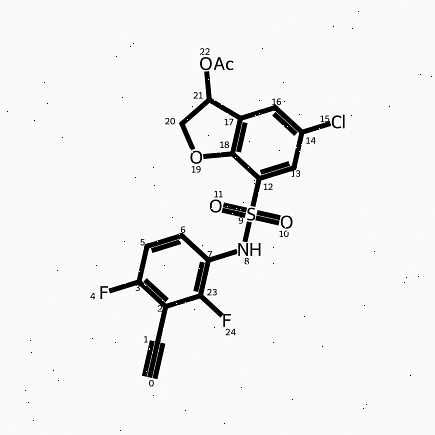 C#Cc1c(F)ccc(NS(=O)(=O)c2cc(Cl)cc3c2OCC3OC(C)=O)c1F